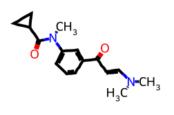 CN(C)C=CC(=O)c1cccc(N(C)C(=O)C2CC2)c1